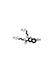 CCCCOC(=O)c1cc2ccc(S)cc2nc1OCCCC